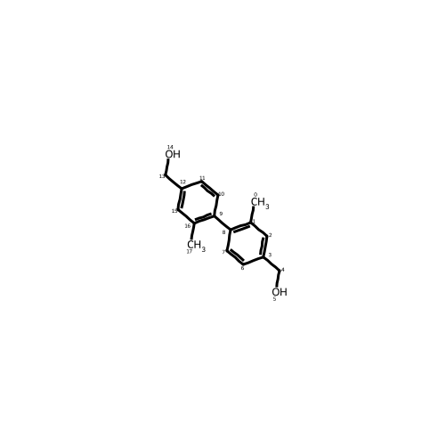 Cc1cc(CO)ccc1-c1ccc(CO)cc1C